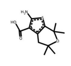 CC1(C)Cc2c(sc(N)c2C(=O)O)C(C)(C)O1